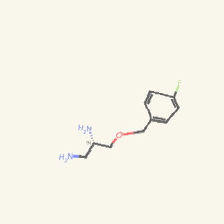 NC[C@H](N)COCc1ccc(F)cc1